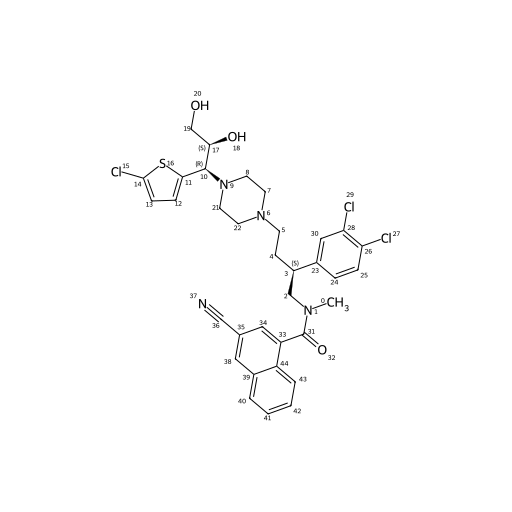 CN(C[C@@H](CCN1CCN([C@@H](c2ccc(Cl)s2)[C@H](O)CO)CC1)c1ccc(Cl)c(Cl)c1)C(=O)c1cc(C#N)cc2ccccc12